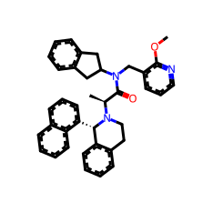 COc1ncccc1CN(C(=O)[C@H](C)N1CCc2ccccc2[C@@H]1c1cccc2ccccc12)C1Cc2ccccc2C1